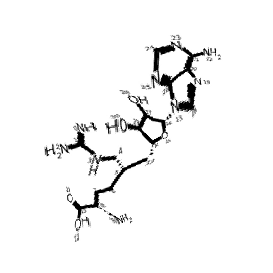 N=C(N)NC[C@@H](CC[C@H](N)C(=O)O)C[C@H]1O[C@@H](n2cnc3c(N)ncnc32)C(O)C1O